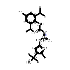 Cc1oc(N/[SH](=O)=N\C(=O)Nc2c(C(C)C)cc(F)cc2C(C)C)cc1C(C)(C)O